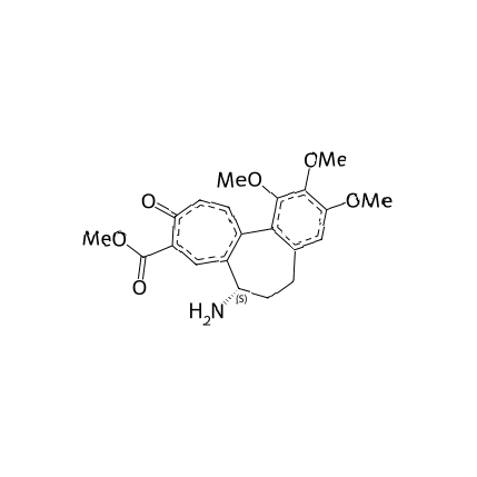 COC(=O)c1cc2c(ccc1=O)-c1c(cc(OC)c(OC)c1OC)CC[C@@H]2N